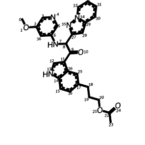 COc1cncc(NC(C(=O)c2c[nH]c3ccc(CCCOC(C)=O)cc23)c2cc3ccccn3n2)c1